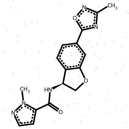 Cc1noc(-c2ccc3c(c2)OC[C@H]3NC(=O)c2ccnn2C)n1